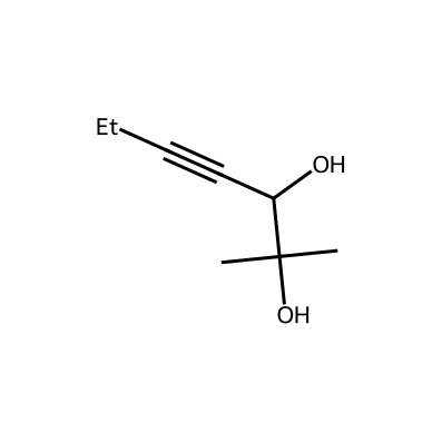 [CH2]CC#CC(O)C(C)(C)O